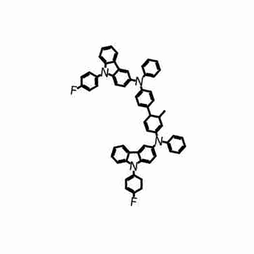 CC1C=C(N(c2ccccc2)c2ccc3c(c2)c2ccccc2n3C2=CC=C(F)CC2)C=CC1c1ccc(N(c2ccccc2)c2ccc3c(c2)c2ccccc2n3-c2ccc(F)cc2)cc1